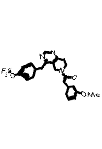 COc1cccc(CC(=O)N2CCc3ncnc(Cc4ccc(OC(F)(F)F)cc4)c3C2)c1